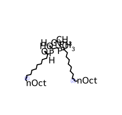 CCCCCCCC/C=C\CCCCCCCC(=O)[P-]C(C(O)PC(=O)CCCCCCC/C=C\CCCCCCCC)[N+](C)(C)C